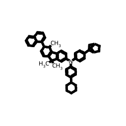 CC1C2=C(C=CC1c1cccc3ccccc13)C(C)(C)c1cc(N(c3ccc(C4CCCCC4)cc3)c3ccc(C4CC5CCC4C5)cc3)ccc12